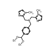 CCOC(OCC)c1ccc(CN(Cc2nccn2C)Cc2nccn2C)cc1